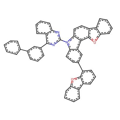 c1ccc(-c2cccc(-c3nc(-n4c5ccc(-c6cccc7c6oc6ccccc67)cc5c5c6oc7ccccc7c6ccc54)nc4ccccc34)c2)cc1